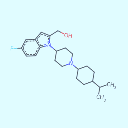 CC(C)C1CCC(N2CCC(n3c(CO)cc4cc(F)ccc43)CC2)CC1